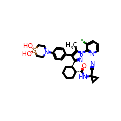 Cc1c(-c2ccc(N3CCS(O)(O)CC3)cc2)c([C@@H]2CCCC[C@H]2C(=O)NC2(C#N)CC2)nn1-c1ncccc1F